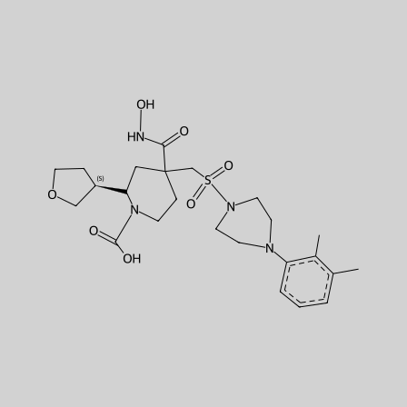 Cc1cccc(N2CCN(S(=O)(=O)CC3(C(=O)NO)CCN(C(=O)O)C([C@@H]4CCOC4)C3)CC2)c1C